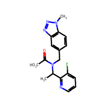 CC(c1ncccc1F)N(Cc1ccc2c(c1)nnn2C)C(=O)C(=O)O